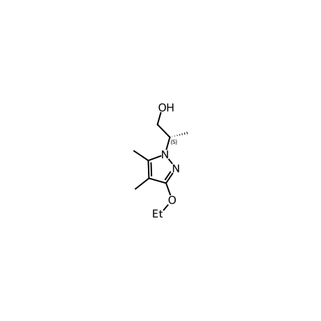 CCOc1nn([C@@H](C)CO)c(C)c1C